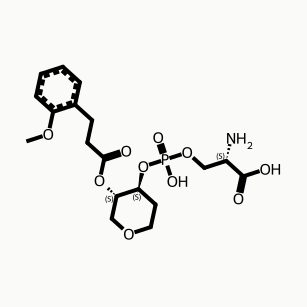 COc1ccccc1CCC(=O)O[C@H]1COCC[C@@H]1OP(=O)(O)OC[C@H](N)C(=O)O